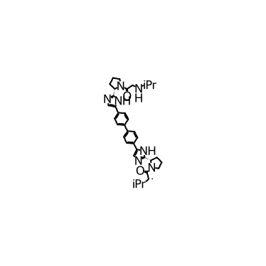 CC(C)[CH]C(=O)N1CCC[C@H]1c1ncc(-c2ccc(-c3ccc(-c4cnc([C@@H]5CCCN5C(=O)CNC(C)C)[nH]4)cc3)cc2)[nH]1